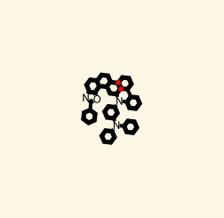 c1ccc(-c2nc3ccc4ccc5ccc(N(c6cccc(N(c7ccccc7)c7ccccc7)c6)c6ccccc6-c6ccccc6)cc5c4c3o2)cc1